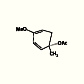 COC1=CC[C@](C)(OC(C)=O)C=C1